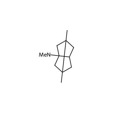 CNC12CC3(C)CC1CC3(C)C2